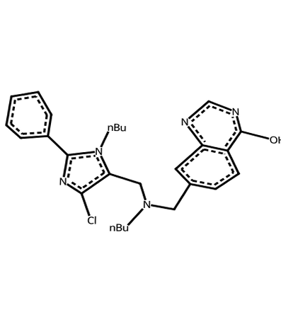 CCCCN(Cc1ccc2c(O)ncnc2c1)Cc1c(Cl)nc(-c2ccccc2)n1CCCC